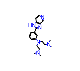 CN(C)CCN(CCN(C)C)c1cccc(-c2nc3cnccc3[nH]2)c1